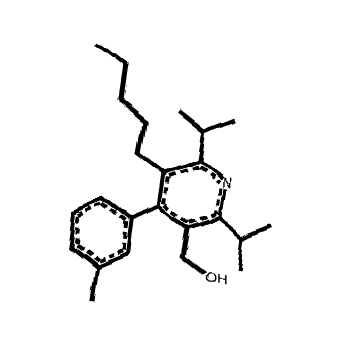 CCCCCc1c(C(C)C)nc(C(C)C)c(CO)c1-c1cccc(C)c1